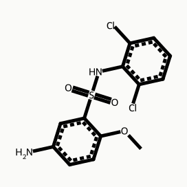 COc1ccc(N)cc1S(=O)(=O)Nc1c(Cl)cccc1Cl